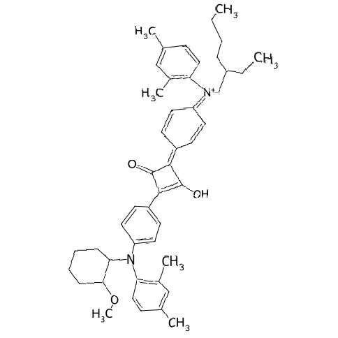 CCCCC(CC)C[N+](=C1C=CC(=C2C(=O)C(c3ccc(N(c4ccc(C)cc4C)C4CCCCC4OC)cc3)=C2O)C=C1)c1ccc(C)cc1C